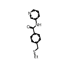 CCSCc1ccc(C(=O)Nc2cccnc2)cc1